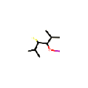 CC(C)C(S)C(OI)C(C)C